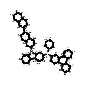 c1ccc(N(c2ccc3c4ccccc4c4ccccc4c3c2)c2ccc3c4ccccc4n(-c4ccc5cc(-c6ccc7ccccc7c6)ccc5c4)c3c2)cc1